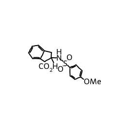 COc1ccc(S(=O)(=O)NC2(C(=O)O)Cc3ccccc3C2)cc1